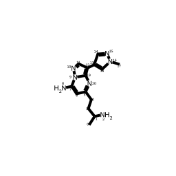 CC(N)CCc1cc(N)n2ncc(-c3cnn(C)c3)c2n1